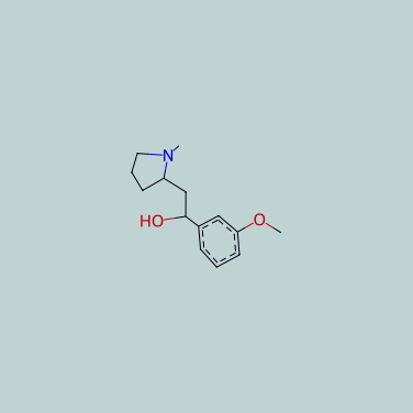 COc1cccc(C(O)CC2CCCN2C)c1